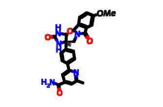 COc1ccc2c(c1)C(=O)N(C[C@@]1(c3ccc(-c4cc(C(N)=O)cc(C)n4)cc3)NC(=O)NC1=O)C2